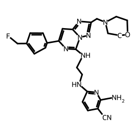 N#Cc1ccc(NCCNc2nc(-c3ccc(CF)cc3)cc3nc(CN4CCOCC4)nn23)nc1N